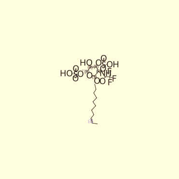 C/C=C\CCCCCCCCO[C@H]1O[C@H](COS(=O)(=O)O)[C@@H](O)[C@H](OS(=O)(=O)O)[C@H]1NC(=O)C(F)(F)F